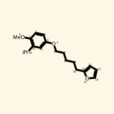 COc1ccc(OCCCCCc2ccco2)cc1C(C)C